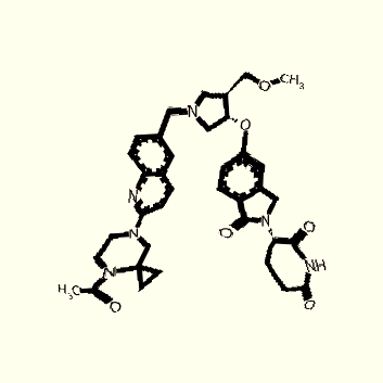 COC[C@@H]1CN(Cc2ccc3nc(N4CCN(C(C)=O)C5(CC5)C4)ccc3c2)C[C@H]1Oc1ccc2c(c1)CN([C@H]1CCC(=O)NC1=O)C2=O